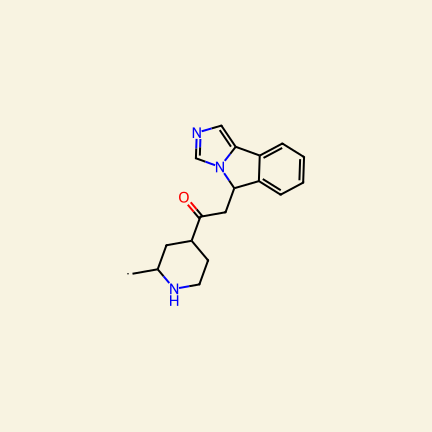 [CH2]C1CC(C(=O)CC2c3ccccc3-c3cncn32)CCN1